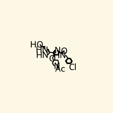 CC(=O)N1CCC(Oc2cc(C(=O)NCc3ccc(Cl)cc3)ncc2/C(C=N)=C/NCCO)CC1